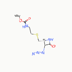 CC(C)(C)OC(=O)NCCSC[C@@H]1NC(=O)C1N=[N+]=[N-]